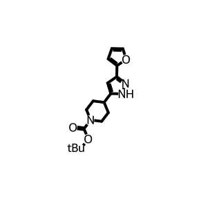 CC(C)(C)OC(=O)N1CCC(c2cc(-c3ccco3)n[nH]2)CC1